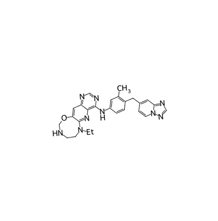 CCN1CCNCOc2cc3ncnc(Nc4ccc(Cc5ccn6ncnc6c5)c(C)c4)c3nc21